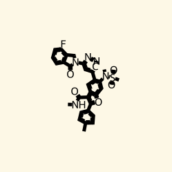 CNC(=O)c1c(-c2ccc(C)cc2)oc2cc(N(C)S(C)(=O)=O)c(-c3cnnc(N4Cc5c(F)cccc5C4=O)c3)cc12